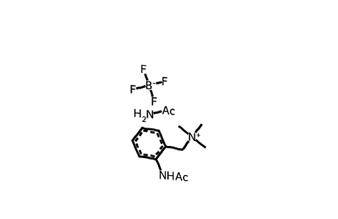 CC(=O)Nc1ccccc1C[N+](C)(C)C.CC(N)=O.F[B-](F)(F)F